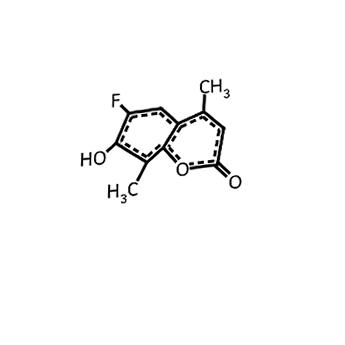 Cc1cc(=O)oc2c(C)c(O)c(F)cc12